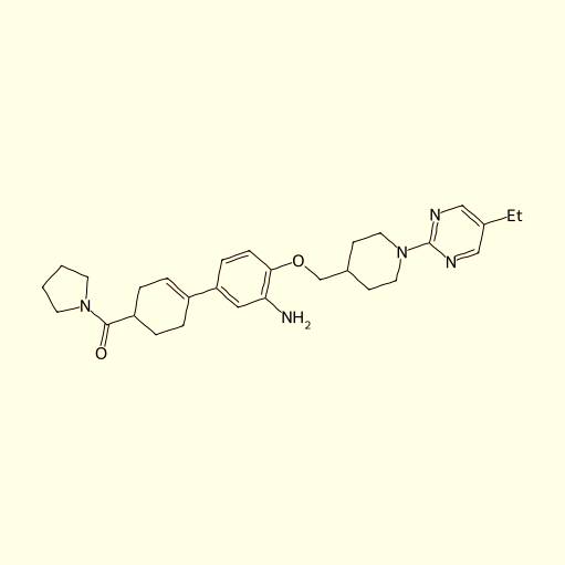 CCc1cnc(N2CCC(COc3ccc(C4=CCC(C(=O)N5CCCC5)CC4)cc3N)CC2)nc1